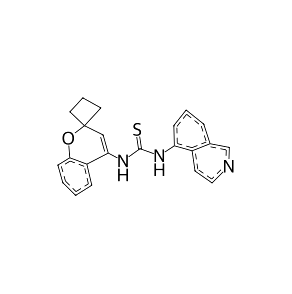 S=C(NC1=CC2(CCC2)Oc2ccccc21)Nc1cccc2cnccc12